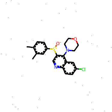 Cc1ccc([S+]([O-])c2cnc3ccc(Cl)cc3c2N2CCOCC2)cc1C